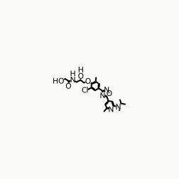 Cc1cc(-c2nc(-c3cc(C)c(OC[C@@H](O)CNC(=O)CO)c(Cl)c3)no2)cc(N(C)C(C)C)n1